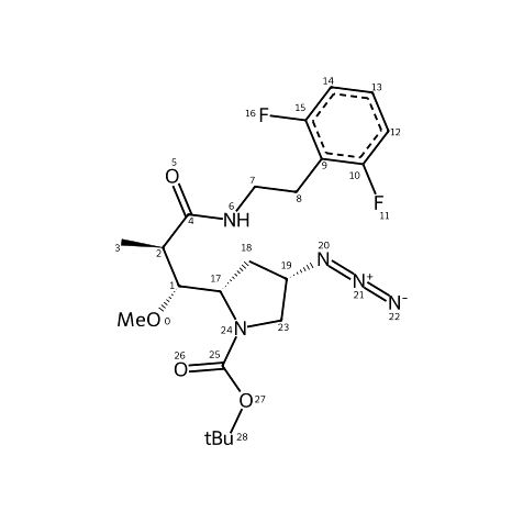 CO[C@H]([C@@H](C)C(=O)NCCc1c(F)cccc1F)[C@@H]1C[C@H](N=[N+]=[N-])CN1C(=O)OC(C)(C)C